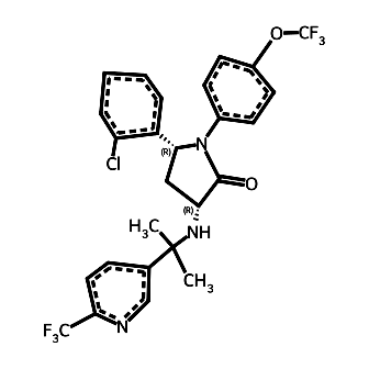 CC(C)(N[C@@H]1C[C@H](c2ccccc2Cl)N(c2ccc(OC(F)(F)F)cc2)C1=O)c1ccc(C(F)(F)F)nc1